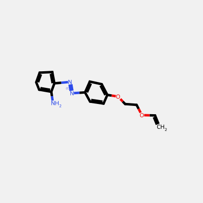 C=COCCOc1ccc(/N=N/c2ccccc2N)cc1